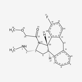 CNC[C@H]1C[C@@H]2c3ccccc3Cc3ccc(F)cc3[C@H]2N1C(=O)COC